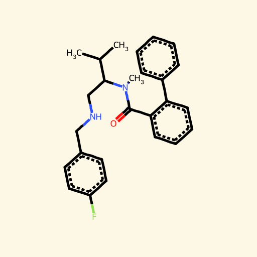 CC(C)C(CNCc1ccc(F)cc1)N(C)C(=O)c1ccccc1-c1ccccc1